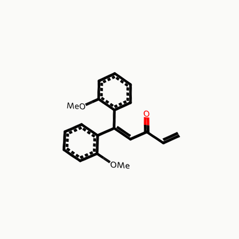 C=CC(=O)C=C(c1ccccc1OC)c1ccccc1OC